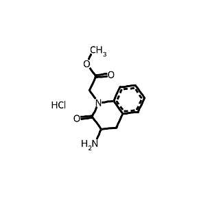 COC(=O)CN1C(=O)C(N)Cc2ccccc21.Cl